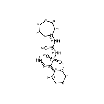 N=C/C(=C1\NCCCO1)S(=O)(=O)NC(=O)NN1CCCCCC1